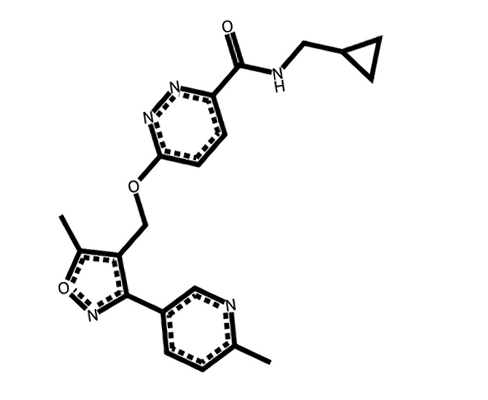 Cc1ccc(-c2noc(C)c2COc2ccc(C(=O)NCC3CC3)nn2)cn1